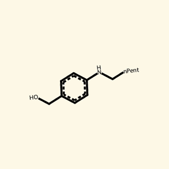 CCCCCCNc1ccc(CO)cc1